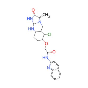 C=C1C(=O)NC2NC3CCC(OCC(=O)Nc4ccc5ccccc5n4)C(Cl)C3CN12